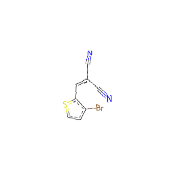 N#CC(C#N)=Cc1sccc1Br